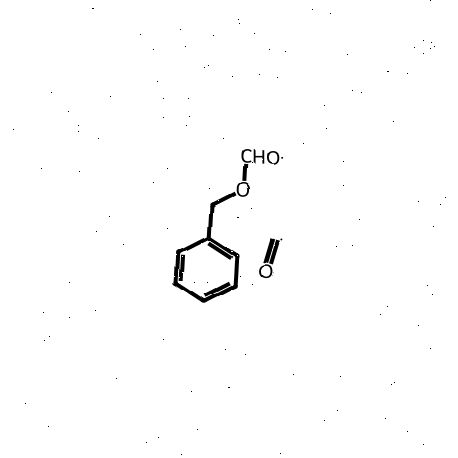 O=[C]OCc1ccccc1.[CH]=O